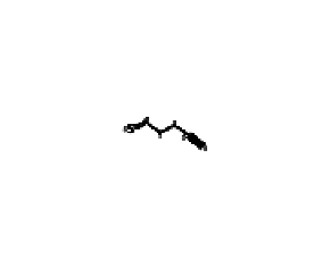 C#CCCC=S